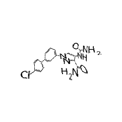 NC(=O)Nc1cn(-c2cccc(-c3ccc(Cl)cc3)c2)nc1C(N)=O